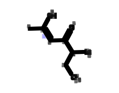 CCC(CC(F)(F)F)C(=O)/C=C(/C)O